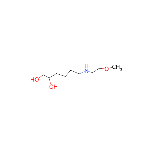 COCCNCCCCC(O)CO